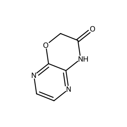 O=C1COc2nccnc2N1